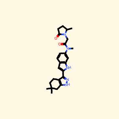 CC1CCC(=O)N1CC(=O)N(C)c1ccc2cc(-c3n[nH]c4c3CCC(C)(C)C4)[nH]c2c1